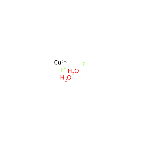 O.O.[Cu+2].[F-].[F-]